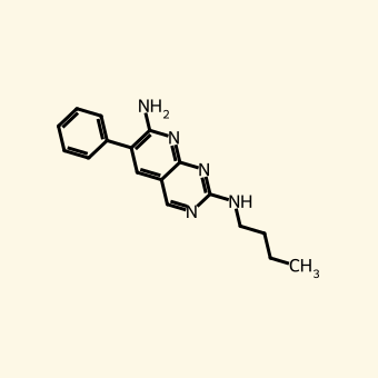 CCCCNc1ncc2cc(-c3ccccc3)c(N)nc2n1